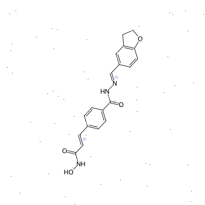 O=C(/C=C/c1ccc(C(=O)N/N=C/c2ccc3c(c2)CCO3)cc1)NO